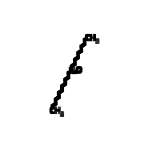 CCCCCCCCCCCCN(C=O)CCCCCCCCCC